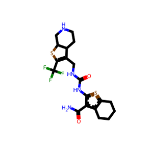 NC(=O)c1c(NC(=O)NCC2=C(C(F)(F)F)SC3CNCCC23)sc2c1CCCC2